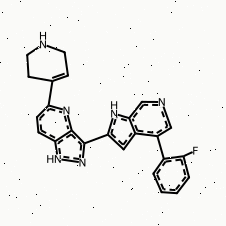 Fc1ccccc1-c1cncc2[nH]c(-c3n[nH]c4ccc(C5=CCNCC5)nc34)cc12